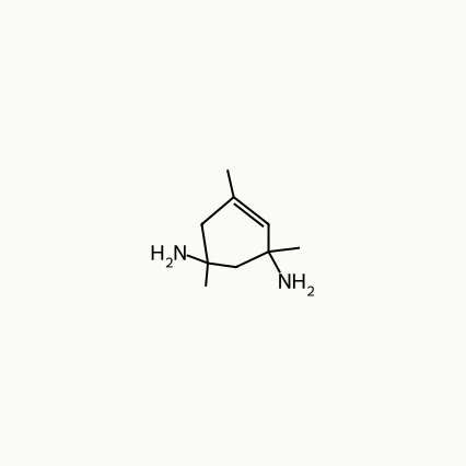 CC1=CC(C)(N)CC(C)(N)C1